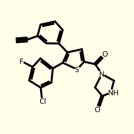 C#Cc1cccc(-c2cc(C(=O)N3CNC(=O)C3)sc2-c2cc(F)cc(Cl)c2)c1